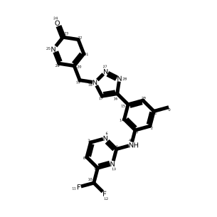 Cc1cc(Nc2nccc(C(F)F)n2)cc(-c2cn(CC3=CCC(=O)N=C3)nn2)c1